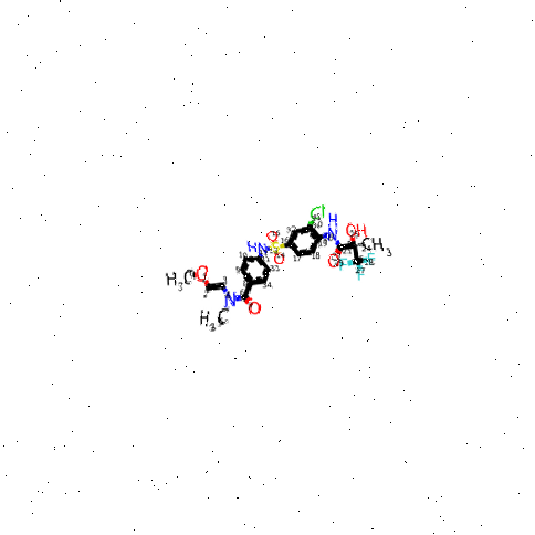 COCCN(C)C(=O)c1ccc(NS(=O)(=O)c2ccc(NC(=O)[C@@](C)(O)C(F)(F)F)c(Cl)c2)cc1